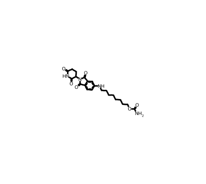 NC(=O)OCCCCCCCCNc1ccc2c(c1)C(=O)N(C1CCC(=O)NC1=O)C2=O